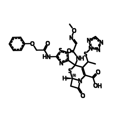 CON=CC(=O)NC1(c2csc(NC(=O)COc3ccccc3)n2)S[C@H]2CC(=O)N2C(C(=O)O)=C1C(C)Sn1ncnn1